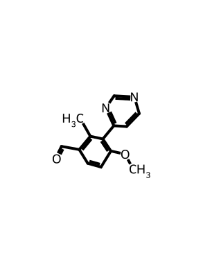 COc1ccc(C=O)c(C)c1-c1ccncn1